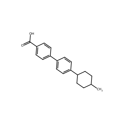 CC1CCC(c2ccc(-c3ccc(C(=O)O)cc3)cc2)CC1